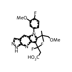 COCC(C)(C)c1c(C(F)(F)CC(=O)O)c2nc3[nH]ncc3cc2n1-c1ccc(F)c(OC)c1